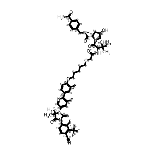 CC(C)(C)[C@H](NC(=O)COCCCCCOc1ccc(-c2ncc(N3C(=S)N(c4ccc(C#N)c(C(F)(F)F)c4F)C(=O)C3(C)C)cc2F)cc1F)C(=O)N1C[C@H](O)C[C@H]1C(=O)NCc1ccc(C(N)=O)cc1